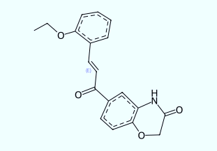 CCOc1ccccc1/C=C/C(=O)c1ccc2c(c1)NC(=O)CO2